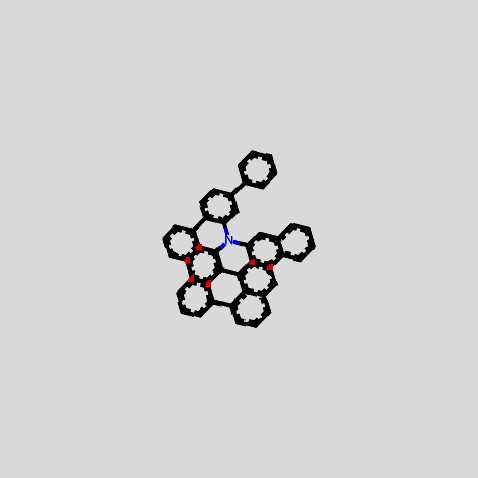 c1ccc(-c2ccc(-c3ccccc3)c(N(c3ccc4ccccc4c3)c3ccccc3-c3cccc4cccc(-c5ccccc5)c34)c2)cc1